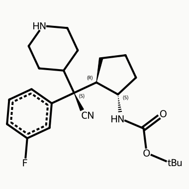 CC(C)(C)OC(=O)N[C@H]1CCC[C@@H]1[C@](C#N)(c1cccc(F)c1)C1CCNCC1